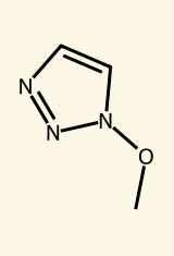 COn1ccnn1